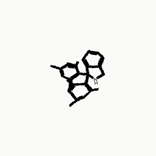 Cc1cc(C)c(C2(c3c(C)cc(C)cc3C)NCc3ccccc32)c(C)c1